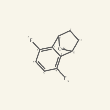 Fc1ccc(F)c2c1C1CCC2O1